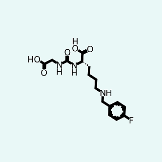 O=C(O)CNC(=O)N[C@@H](CCCCNCc1ccc(F)cc1)C(=O)O